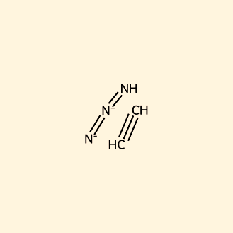 C#C.[N-]=[N+]=N